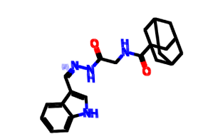 O=C(CNC(=O)C12CC3CC(CC(C3)C1)C2)N/N=C\c1c[nH]c2ccccc12